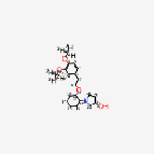 [2H]C([2H])([2H])Oc1ccc(CCO[C@H]2CCCCC2N2CC[C@@H](O)C2)cc1OC([2H])([2H])[2H]